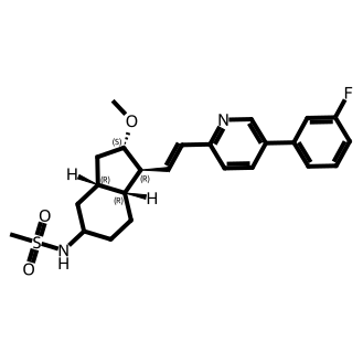 CO[C@H]1C[C@H]2CC(NS(C)(=O)=O)CC[C@H]2[C@@H]1C=Cc1ccc(-c2cccc(F)c2)cn1